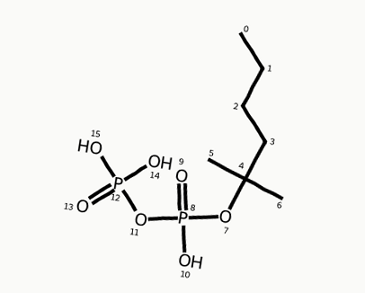 CCCCC(C)(C)OP(=O)(O)OP(=O)(O)O